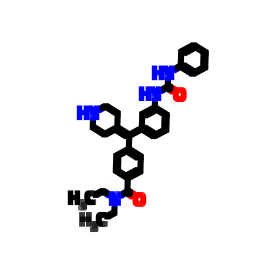 CCN(CC)C(=O)c1ccc(C(=C2CCNCC2)c2cccc(NC(=O)Nc3ccccc3)c2)cc1